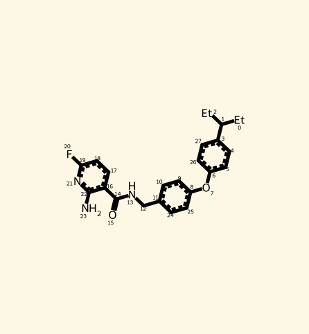 CCC(CC)c1ccc(Oc2ccc(CNC(=O)c3ccc(F)nc3N)cc2)cc1